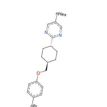 CCCCCCc1cnc([C@H]2CC[C@H](COc3ccc(CCC)cc3)CC2)nc1